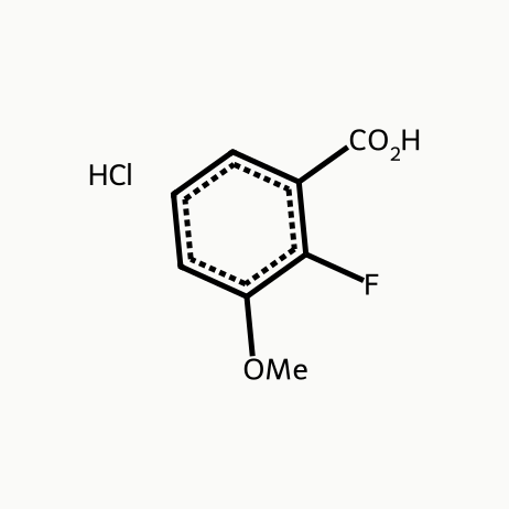 COc1cccc(C(=O)O)c1F.Cl